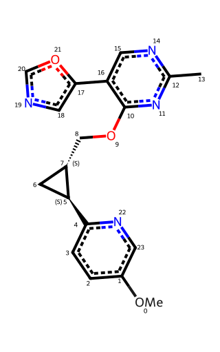 COc1ccc([C@H]2C[C@@H]2COc2nc(C)ncc2-c2cnco2)nc1